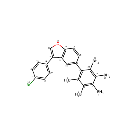 Bc1c(B)c(B)c(-c2ccc3occ(-c4ccc(Br)cc4)c3c2)c(B)c1B